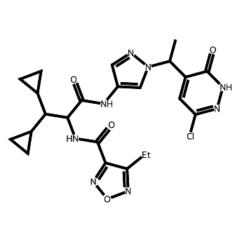 CCc1nonc1C(=O)NC(C(=O)Nc1cnn(C(C)c2cc(Cl)n[nH]c2=O)c1)C(C1CC1)C1CC1